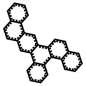 c1ccc2c(c1)ccc1cc3c4ccccc4c4c5ccccc5ccc4c3cc12